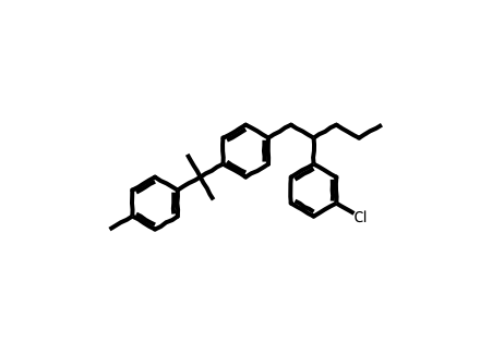 CCCC(Cc1ccc(C(C)(C)c2ccc(C)cc2)cc1)c1cccc(Cl)c1